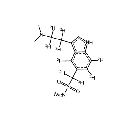 [2H]c1c(C([2H])([2H])S(=O)(=O)NC)c([2H])c2c(C([2H])([2H])C([2H])([2H])N(C)C)c[nH]c2c1[2H]